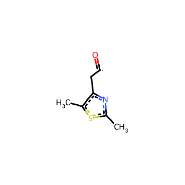 Cc1nc(C[C]=O)c(C)s1